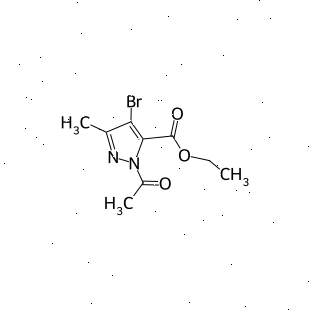 CCOC(=O)c1c(Br)c(C)nn1C(C)=O